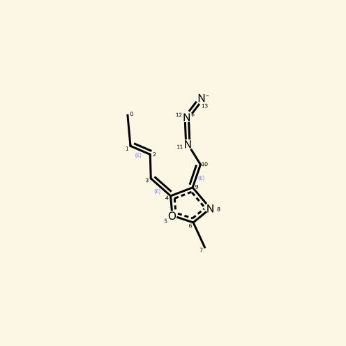 C/C=C/C=c1/oc(C)n/c1=C/N=[N+]=[N-]